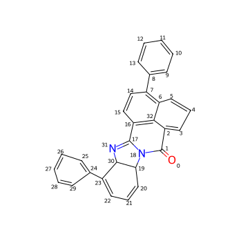 O=c1c2cccc3c(-c4ccccc4)ccc(c4n1C1C=CC=C(c5ccccc5)C1N=4)c32